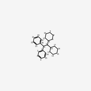 c1ccc(C([C](C2CCCCC2)C2CCCCC2)c2ccccc2)cc1